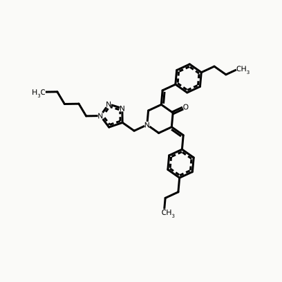 CCCCCn1cc(CN2CC(=Cc3ccc(CCC)cc3)C(=O)C(=Cc3ccc(CCC)cc3)C2)nn1